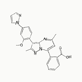 COc1cc(-n2cccn2)ccc1-c1c(C)nn2c(-c3ccccc3C(=O)O)cc(C)nc12